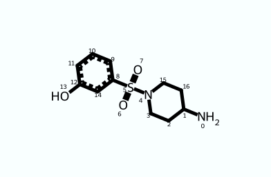 NC1CCN(S(=O)(=O)c2cccc(O)c2)CC1